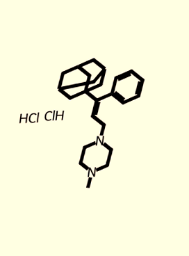 CN1CCN(CC=C(c2ccccc2)C23CC4CC(CC(C4)C2)C3)CC1.Cl.Cl